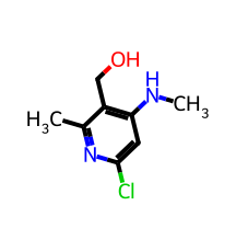 CNc1cc(Cl)nc(C)c1CO